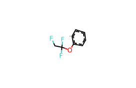 FCC(F)(F)Oc1[c]cccc1